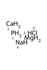 Cl.P.[CaH2].[MgH2].[NaH]